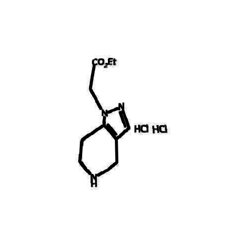 CCOC(=O)Cn1ncc2c1CCNC2.Cl.Cl